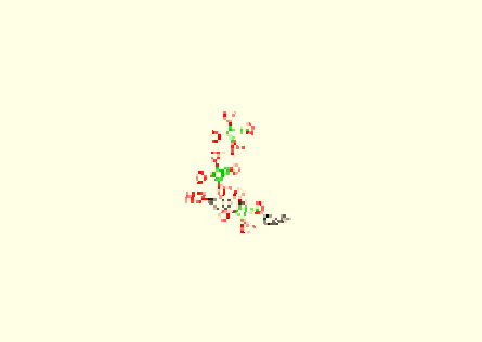 O=C(O)O.[Co+3].[O-][Cl+3]([O-])([O-])[O-].[O-][Cl+3]([O-])([O-])[O-].[O-][Cl+3]([O-])([O-])[O-]